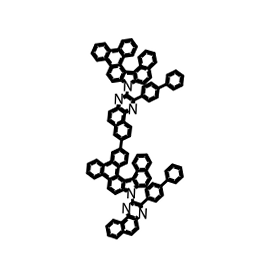 c1ccc(-c2ccc(-c3nc4c(ccc5cc(-c6ccc7c(c6)c6ccccc6c6ccc8c(c67)c6c7ccccc7ccc6n8-c6nc7c(ccc8ccccc87)nc6-c6ccc(-c7ccccc7)cc6)ccc54)nc3-n3c4ccc5ccccc5c4c4c5c6ccccc6c6ccccc6c5ccc43)cc2)cc1